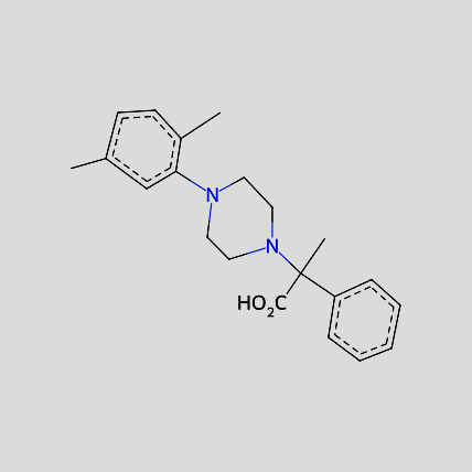 Cc1ccc(C)c(N2CCN(C(C)(C(=O)O)c3ccccc3)CC2)c1